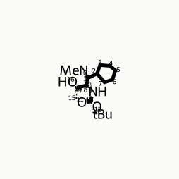 CNC(C1CCCCC1)[C@H](NC(=O)OC(C)(C)C)[C@H](C)O